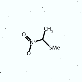 CSC(C)[N+](=O)[O-]